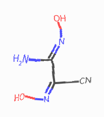 N#CC(=NO)C(N)=NO